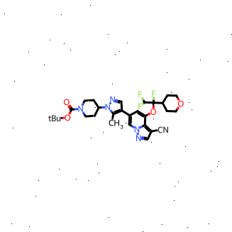 Cc1c(-c2cc(OC(F)(C(F)F)C3CCOCC3)c3c(C#N)cnn3c2)cnn1C1CCN(C(=O)OC(C)(C)C)CC1